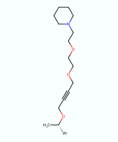 CC(C)[C@H](C)OCC#CCOCCOCCN1CCCCC1